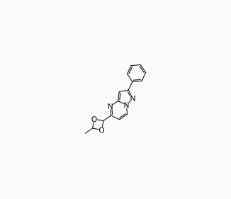 CC1OC(c2ccn3nc(-c4ccccc4)cc3n2)O1